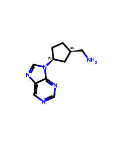 NC[C@@H]1CC[C@H](n2cnc3cncnc32)C1